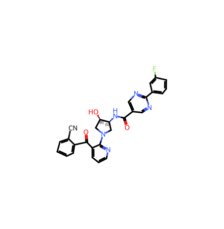 N#Cc1ccccc1C(=O)c1cccnc1N1C[C@@H](O)[C@@H](NC(=O)c2cnc(-c3cccc(F)c3)nc2)C1